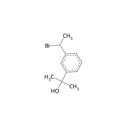 CC(Br)c1cccc(C(C)(C)O)c1